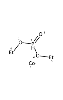 CCO[PH](=O)OCC.[Co]